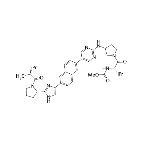 COC(=O)N[C@H](C(=O)N1CCC(Nc2ncc(-c3ccc4cc(-c5c[nH]c([C@@H]6CCCN6C(=O)[C@@H](C)C(C)C)n5)ccc4c3)cn2)C1)C(C)C